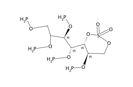 O=S1(=O)OC[C@@H](OP)[C@H]([C@H](OP)[C@H](OP)C(COP)OP)O1